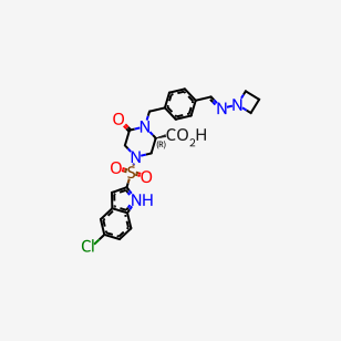 O=C(O)[C@H]1CN(S(=O)(=O)c2cc3cc(Cl)ccc3[nH]2)CC(=O)N1Cc1ccc(C=NN2CCC2)cc1